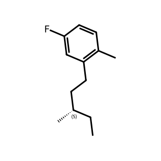 CC[C@H](C)CCc1cc(F)ccc1C